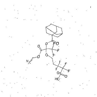 C=COC(=O)C(OCCC(F)(F)C(F)(F)S(=O)(=O)O)(OC(=O)C12CC3CC(CC(C3)C1)C2)C(F)(F)F